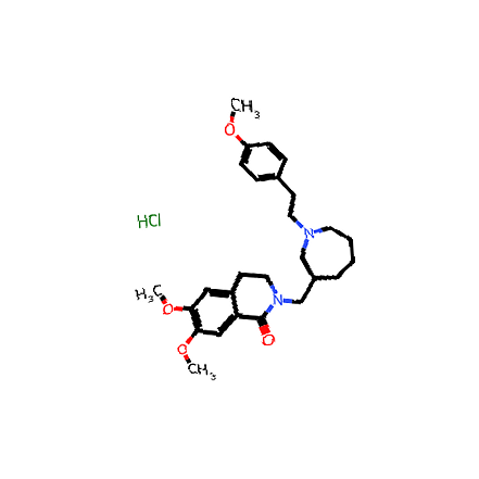 COc1ccc(CCN2CCCCC(CN3CCc4cc(OC)c(OC)cc4C3=O)C2)cc1.Cl